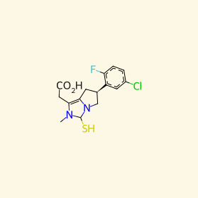 CN1C(CC(=O)O)=C2C[C@@H](c3cc(Cl)ccc3F)CN2C1S